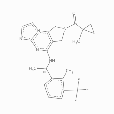 Cc1c([C@@H](C)Nc2nc3nccn3c3c2CN(C(=O)C2(C)CC2)C3)cccc1C(F)(F)F